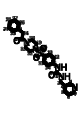 O=C(NCc1cccnc1)Nc1ccc(S(=O)(=O)N2CCN(C(=O)Cc3ccccc3)CC2)cc1